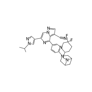 CC(C)n1cc(-c2cn3ncc(C#N)c3c(-c3ccc(N4CC5CC(C4)N5CC4CCC(F)(F)CC4)nc3)n2)cn1